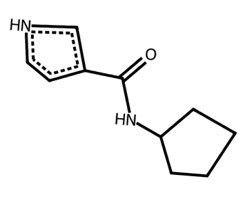 O=C(NC1CCCC1)c1cc[nH]c1